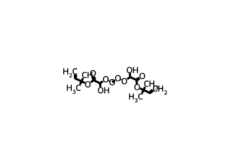 C=CC(C)(C)OC(=O)C(O)OOOOC(O)C(=O)OC(C)(C)C=C